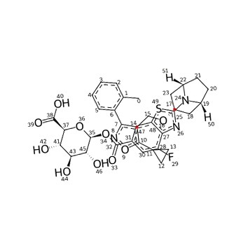 Cc1ccccc1-c1noc(C2CC2)c1CO[C@H]1C[C@H]2CC[C@@H](C1)N2c1nc2c(F)cc(C(=O)O[C@@H]3O[C@H](C(=O)O)[C@@H](O)[C@H](O)[C@H]3O)cc2s1